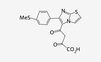 CSc1ccc(-c2nc3sccn3c2C(=O)CC(=O)C(=O)O)cc1